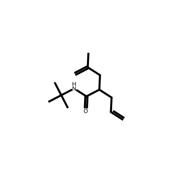 C=CCC(CC(=C)C)C(=O)NC(C)(C)C